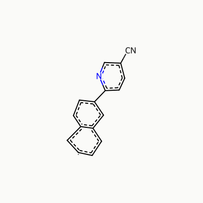 N#Cc1ccc(-c2ccc3c[c]ccc3c2)nc1